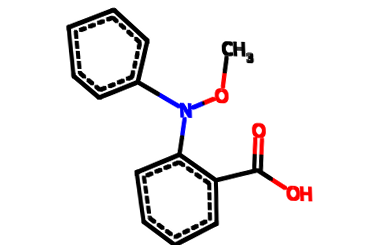 CON(c1ccccc1)c1ccccc1C(=O)O